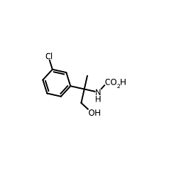 CC(CO)(NC(=O)O)c1cccc(Cl)c1